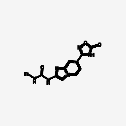 CCNC(=O)Nc1cn2ccc(-c3noc(=O)[nH]3)cc2n1